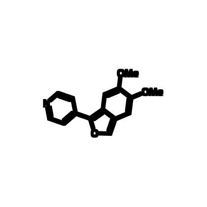 COc1cc2coc(-c3ccncc3)c2cc1OC